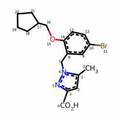 Cc1cc(C(=O)O)nn1Cc1cc(Br)ccc1OCC1CCCC1